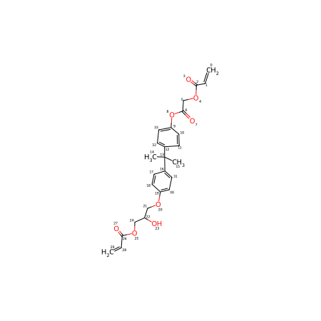 C=CC(=O)OCC(=O)Oc1ccc(C(C)(C)c2ccc(OCC(O)COC(=O)C=C)cc2)cc1